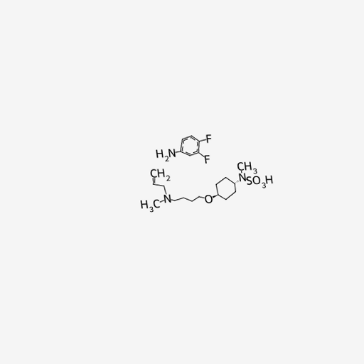 C=CCN(C)CCCCO[C@H]1CC[C@H](N(C)S(=O)(=O)O)CC1.Nc1ccc(F)c(F)c1